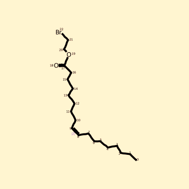 CCCCCCCC/C=C\CCCCCCCC(=O)OCCBr